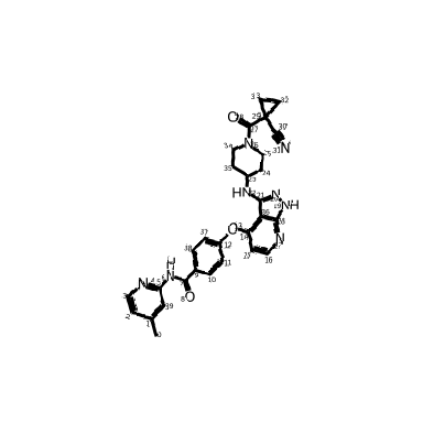 Cc1ccnc(NC(=O)c2ccc(Oc3ccnc4[nH]nc(NC5CCN(C(=O)C6(C#N)CC6)CC5)c34)cc2)c1